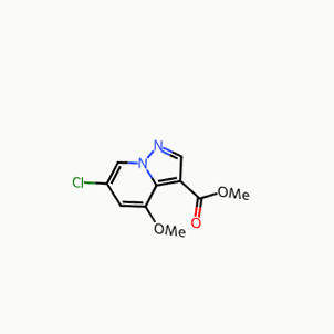 COC(=O)c1cnn2cc(Cl)cc(OC)c12